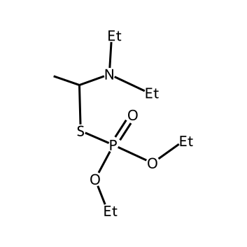 CCOP(=O)(OCC)SC(C)N(CC)CC